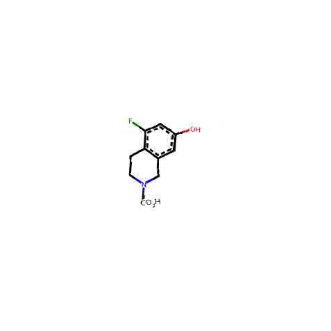 O=C(O)N1CCc2c(F)cc(O)cc2C1